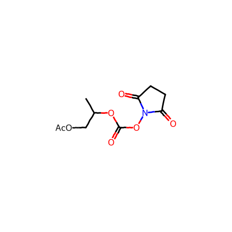 CC(=O)OCC(C)OC(=O)ON1C(=O)CCC1=O